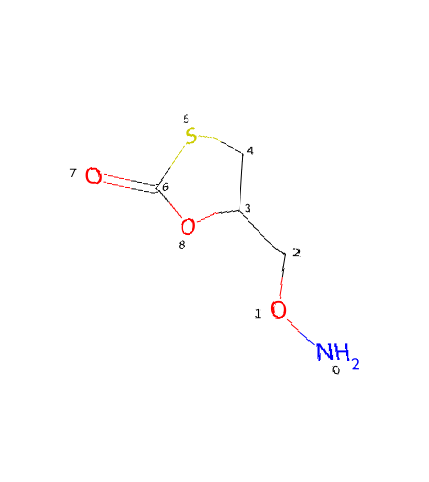 NOCC1CSC(=O)O1